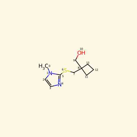 Cn1ccnc1SCC1(CO)CCC1